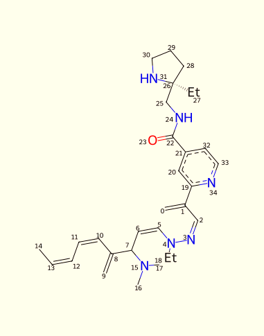 C=C(/C=N\N(/C=C\C(C(=C)/C=C\C=C/C)N(C)C)CC)c1cc(C(=O)NC[C@]2(CC)CCCN2)ccn1